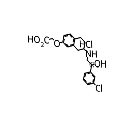 Cl.O=C(O)COc1ccc2c(c1)CC(NC[C@@H](O)c1cccc(Cl)c1)CC2